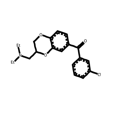 CCN(CC)CC1COc2ccc(C(=O)c3cccc(Cl)c3)cc2O1